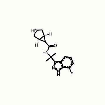 CC(C)(NC(=O)C1[C@H]2CNC[C@@H]12)c1n[nH]c2c(F)cccc12